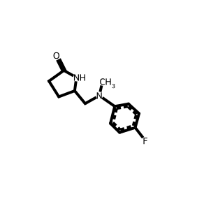 CN(CC1CCC(=O)N1)c1ccc(F)cc1